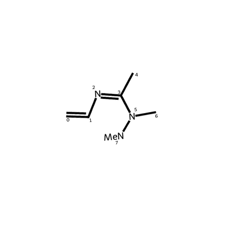 C=C/N=C(/C)N(C)NC